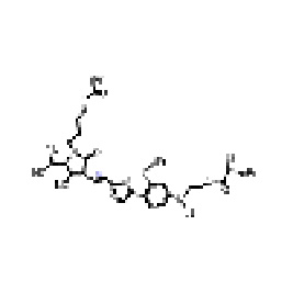 CCCCC(CC)C(=O)OCCN(CC)c1ccc(-c2ccc(/C=C/C3=C(C#N)C(=C(C#N)C#N)N(CCCCOC(=O)C(C)C)C3=O)s2)c(OC(C)C)c1